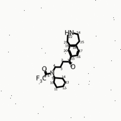 O=C(CCCN(C(=O)C(F)(F)F)C1CCCCC1)c1ccc2c(c1)CCNCC2